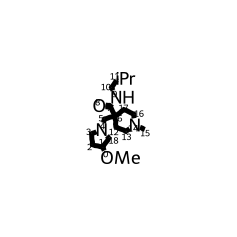 COC1CCN(CC2(C(=O)NCC(C)C)CCN(C)CC2)C1